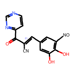 N#C/C(=C\c1cc(O)c(O)c(N=O)c1)C(=O)c1ccncn1